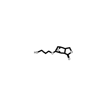 O=C1OCC2C3CC(OCCCS)C(O3)C12